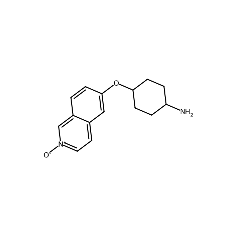 NC1CCC(Oc2ccc3c[n+]([O-])ccc3c2)CC1